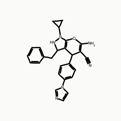 N#CC1=C(N)OC2=C(C(Cc3ccccc3)NN2C2CC2)C1c1ccc(-n2ccnc2)cc1